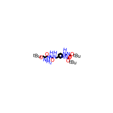 CC(C)(C)OC[C@@H](N)C(=O)NNC(=O)NCc1ccc(N/C(=N/C(=O)OC(C)(C)C)NC(=O)OC(C)(C)C)cc1